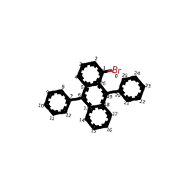 Brc1cccc2c(-c3ccccc3)c3ccccc3c(-c3ccccc3)c12